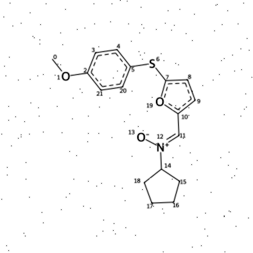 COc1ccc(Sc2ccc(C=[N+]([O-])C3CCCC3)o2)cc1